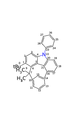 CC(C)(C)c1ccc2c3c1C(C)(C)c1cccc(c1)-c1cccc(c13)n2-c1ccccc1